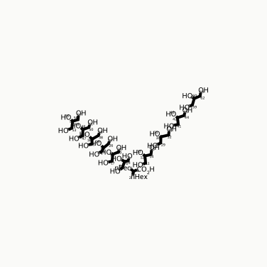 CCCCCCCCCCC(CCCCCC)C(=O)O.OCC(O)CO.OCC(O)CO.OCC(O)CO.OCC(O)CO.OCC(O)CO.OCC(O)CO.OCC(O)CO.OCC(O)CO.OCC(O)CO.OCC(O)CO